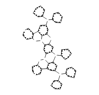 c1ccc(N(c2ccccc2)c2cc3c4c(c2)-c2cnccc2OB4c2cc4c(cc2O3)N(c2ccccc2)c2cc(N(c3ccccc3)c3ccccc3)cc3c2B4Oc2ccncc2-3)cc1